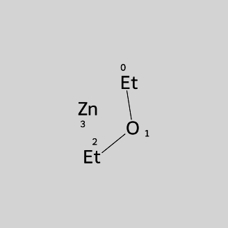 CCOCC.[Zn]